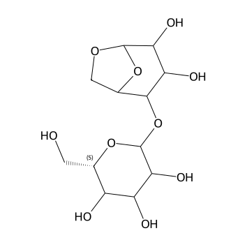 OC[C@@H]1OC(OC2C3COC(O3)C(O)C2O)C(O)C(O)C1O